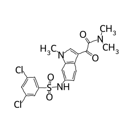 CN(C)C(=O)C(=O)c1cn(C)c2cc(NS(=O)(=O)c3cc(Cl)cc(Cl)c3)ccc12